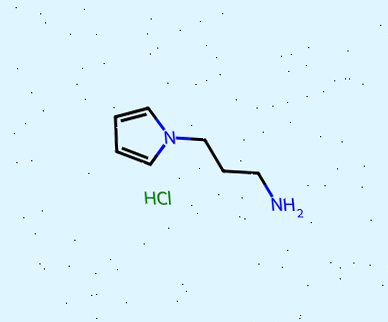 Cl.NCCCn1cccc1